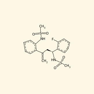 C=C(C[C@H](NS(C)(=O)=O)c1ccccc1F)c1ccccc1NS(C)(=O)=O